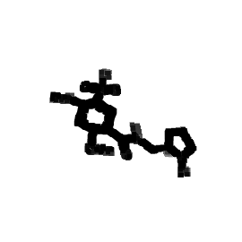 CCN1CCC[C@@H]1CNC(=O)c1cc(S(=O)(=O)CC)c(NC)cc1OC